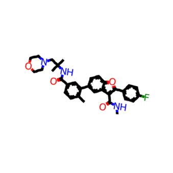 CNC(=O)c1c(-c2ccc(F)cc2)oc2ccc(-c3cc(C(=O)NC(C)(C)CN4CCOCC4)ccc3C)cc12